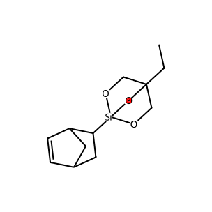 CCC12CO[Si](C3CC4C=CC3C4)(OC1)OC2